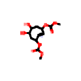 COC(=O)OC1/C=C/C(OC(=O)OC)CC(O)C(O)C1